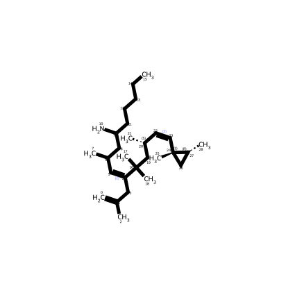 C=C(C)C/C(=C/C(C)CC(N)CCCCC)C(C)(C)C[C@H](C)/C=C\[C@@]1(C)C[C@H]1C